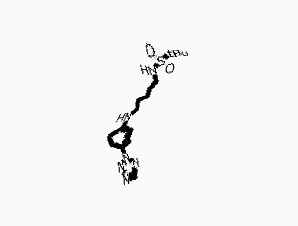 CC(C)(C)S(=O)(=O)NCCCCCNc1ccc(-n2ncnn2)cc1